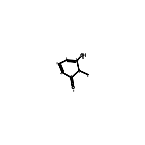 CC1C(=O)C=CC=C1O